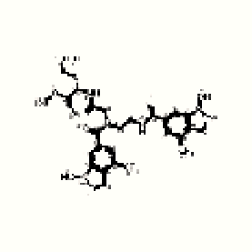 CC(C)(C)OC(=O)[C@H](CCC(=O)O)NC(=O)CN(CCNC(=O)c1cc2c(c(C(F)(F)F)c1)COB2O)C(=O)c1cc2c(c(C(F)(F)F)c1)COB2O